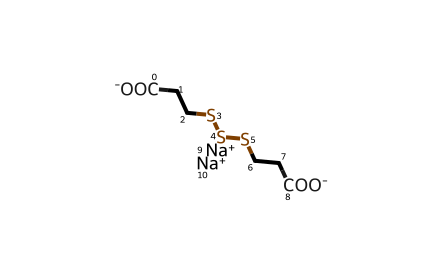 O=C([O-])CCSSSCCC(=O)[O-].[Na+].[Na+]